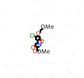 COCCCOc1cc2c(cc1Cl)-c1cc(=O)c(C(=O)OC)cn1CO2